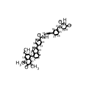 CCc1cc(-c2cccc3cc(-c4ccc(C(=O)NCC#Cc5cccc(CN6CCC(=O)NC6=O)c5)nc4)ncc23)c2cc(C)c(=O)n(C)c2c1